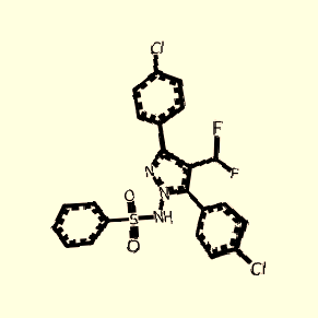 O=S(=O)(Nn1nc(-c2ccc(Cl)cc2)c(C(F)F)c1-c1ccc(Cl)cc1)c1ccccc1